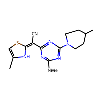 CNc1nc(C(C#N)=C2NC(C)=CS2)nc(N2CCC(C)CC2)n1